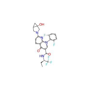 CC[C@@H](NC(=O)c1cn(-c2c(F)cccc2F)c2nc(N3CC4CC4(O)C3)ccc2c1=O)C(F)(F)F